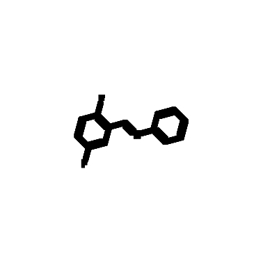 Fc1ccc(F)c(/C=N/c2ccccc2)c1